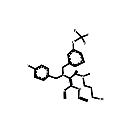 C=CN/C(N=C)=C(\C(=C)N(C)CCCO)N(Cc1ccc(F)cc1)Cc1cccc(OC(F)(F)F)c1